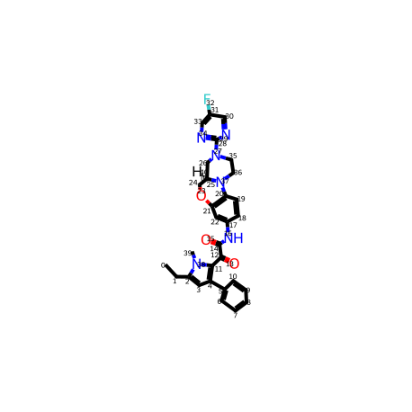 CCc1cc(-c2ccccc2)c(C(=O)C(=O)Nc2ccc3c(c2)OC[C@H]2CN(c4ncc(F)cn4)CCN32)n1C